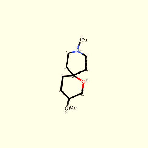 COC1CCC2(CCN(C(C)(C)C)CC2)OC1